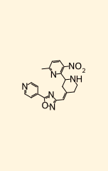 Cc1ccc([N+](=O)[O-])c(C2CC(=Cc3noc(-c4ccncc4)n3)CCN2)n1